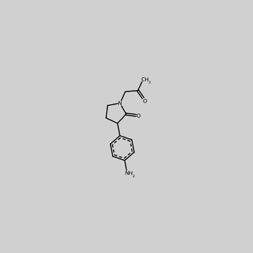 CC(=O)CN1CCC(c2ccc(N)cc2)C1=O